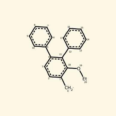 [CH2]c1ccc(-c2ccccc2)c(-c2ccccc2)c1OCC